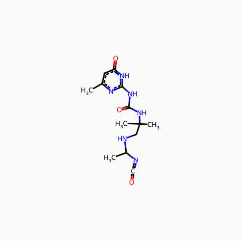 Cc1cc(=O)[nH]c(NC(=O)NC(C)(C)CNC(C)N=C=O)n1